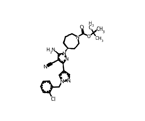 CC(C)(C)OC(=O)N1CCC[C@H](n2nc(-c3cnn(Cc4ccccc4Cl)c3)c(C#N)c2N)CC1